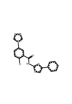 O=C(Nc1nc(-c2ccccc2)cs1)c1cc(-n2cnnc2)ccc1Cl